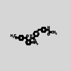 COc1ccc(C(=O)c2cccc(N)c2NC(=O)C2CCN(Cc3ccc(NC(C)=O)cc3)CC2)cc1